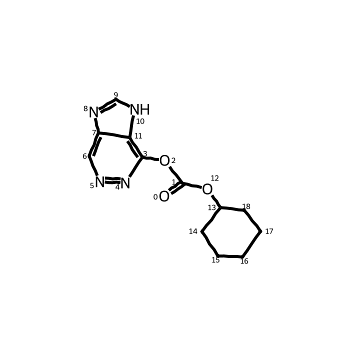 O=C(Oc1nncc2nc[nH]c12)OC1CCCCC1